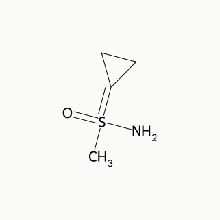 CS(N)(=O)=C1CC1